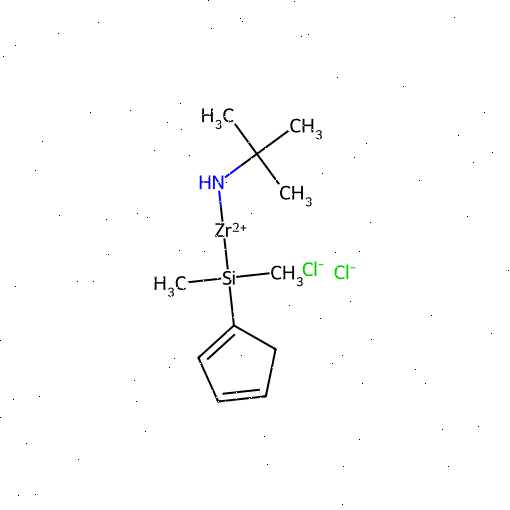 CC(C)(C)[NH][Zr+2][Si](C)(C)C1=CC=CC1.[Cl-].[Cl-]